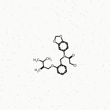 C=C(COc1ccccc1CN(C(=O)CCl)c1ccc2c(c1)OCO2)C(C)C